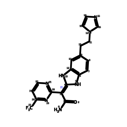 NC(=O)/C(=C1\Nc2ccc(CCn3ccnc3)cc2N1)c1nccc(C(F)(F)F)n1